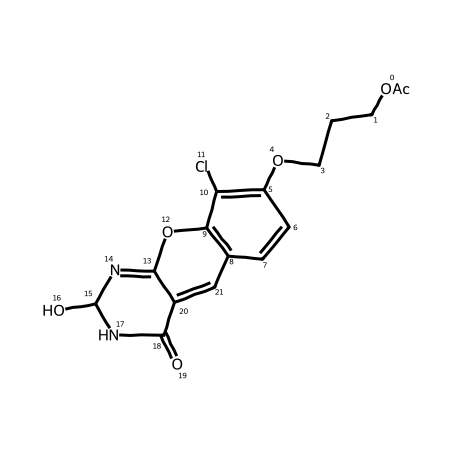 CC(=O)OCCCOc1ccc2c(c1Cl)OC1=NC(O)NC(=O)C1=C2